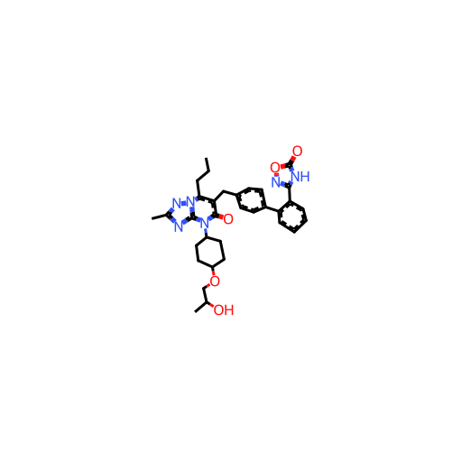 CCCc1c(Cc2ccc(-c3ccccc3-c3noc(=O)[nH]3)cc2)c(=O)n(C2CCC(OCC(C)O)CC2)c2nc(C)nn12